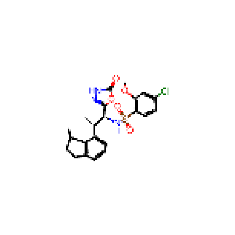 COc1cc(Cl)ccc1S(=O)(=O)N[C@H](c1n[nH]c(=O)o1)[C@@H](C)c1cccc2c1C(C)CC2